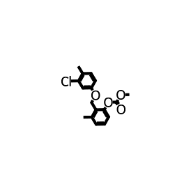 COC(=O)Oc1cccc(C)c1COc1ccc(C)c(Cl)c1